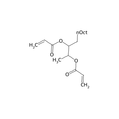 C=CC(=O)OC(C)C(CCCCCCCCC)OC(=O)C=C